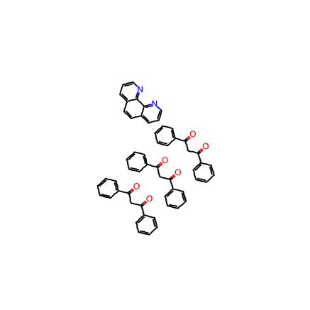 O=C(CC(=O)c1ccccc1)c1ccccc1.O=C(CC(=O)c1ccccc1)c1ccccc1.O=C(CC(=O)c1ccccc1)c1ccccc1.c1cnc2c(c1)ccc1cccnc12